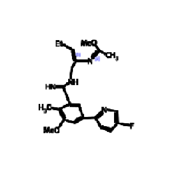 CC/C=C(CNC(=N)c1cc(-c2ccc(F)cn2)cc(OC)c1C)/N=C(/C)OC